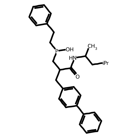 CC(C)CC(C)NC(=O)C(Cc1ccc(-c2ccccc2)cc1)CP(O)CCc1ccccc1